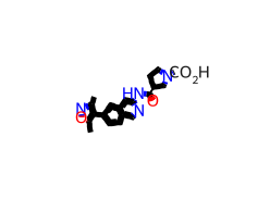 Cc1noc(C)c1-c1ccc2cnc(NC(=O)[C@H]3CCN(C(=O)O)C3)cc2c1